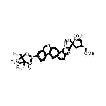 COC[C@H]1CN(C(=O)O)[C@](c2nc3ccc4cc5c(cc4c3[nH]2)OCc2cc(B3OC(C)(C)C(C)(C)O3)ccc2-5)(C(C)(C)C)C1